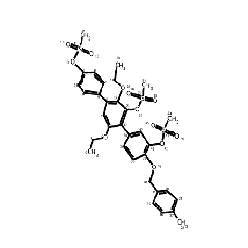 CCOc1cc(-c2ccc(OS(C)(=O)=O)cc2)c(OCC)c(OS(C)(=O)=O)c1-c1ccc(OCc2ccc(C)cc2)c(OS(C)(=O)=O)c1